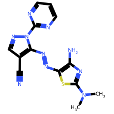 CN(C)c1nc(N)c(/N=N/c2c(C#N)cnn2-c2ncccn2)s1